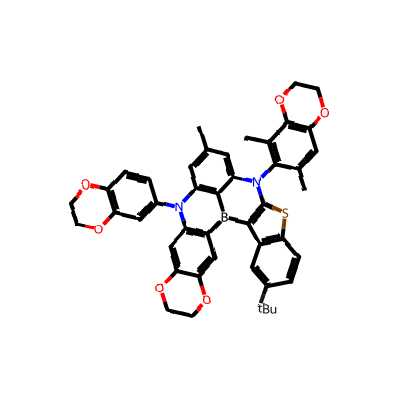 Cc1cc2c3c(c1)N(c1c(C)cc4c(c1C)OCCO4)c1sc4ccc(C(C)(C)C)cc4c1B3c1cc3c(cc1N2c1ccc2c(c1)OCCO2)OCCO3